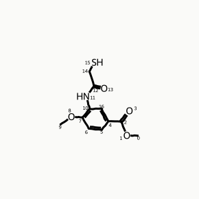 COC(=O)c1ccc(OC)c(NC(=O)CS)c1